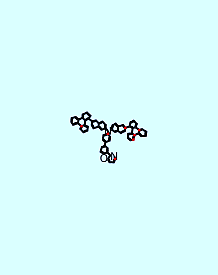 c1cnc2c(c1)oc1ccc(-c3ccc(N(c4ccc5cc(-c6cccc7c8ccccc8c8ccccc8c67)ccc5c4)c4ccc5cc(-c6cccc7c8ccccc8c8ccccc8c67)ccc5c4)cc3)cc12